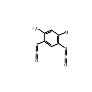 Cc1cc(Cl)c(N=C=O)cc1N=C=O